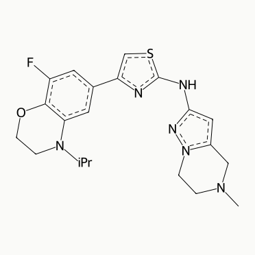 CC(C)N1CCOc2c(F)cc(-c3csc(Nc4cc5n(n4)CCN(C)C5)n3)cc21